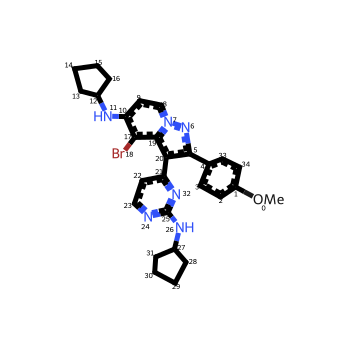 COc1ccc(-c2nn3ccc(NC4CCCC4)c(Br)c3c2-c2ccnc(NC3CCCC3)n2)cc1